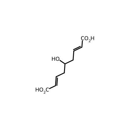 O=C(O)C=CCC(O)CC=CC(=O)O